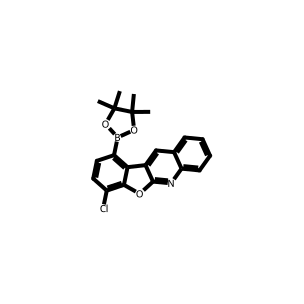 CC1(C)OB(c2ccc(Cl)c3oc4nc5ccccc5cc4c23)OC1(C)C